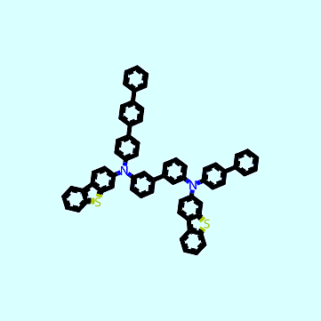 c1ccc(-c2ccc(-c3ccc(N(c4cccc(-c5cccc(N(c6ccc(-c7ccccc7)cc6)c6ccc7c(c6)sc6ccccc67)c5)c4)c4ccc5c(c4)sc4ccccc45)cc3)cc2)cc1